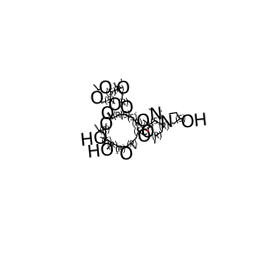 CC[C@H]1OC(=O)[C@H](C)[C@@H](O[C@H]2C[C@@](C)(OC)[C@@H](OC(C)=O)[C@H](C)O2)[C@H](C)[C@@H](O[C@@H]2O[C@H](C)C[C@@H](N3CC[C@H](O)C3)[C@@H]2N(C)C)[C@@](C)(OC)C[C@@H](C)C(=O)[C@H](C)[C@@H](O)[C@]1(C)O